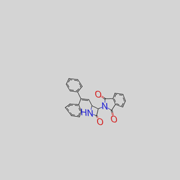 O=C1NC(C=C(c2ccccc2)c2ccccc2)C1N1C(=O)c2ccccc2C1=O